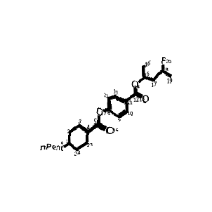 CCCCCC1CCC(C(=O)Oc2ccc(C(=O)OC(C)CC(C)F)cc2)CC1